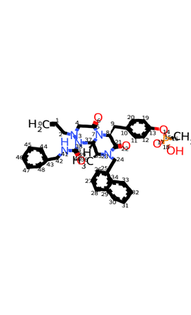 C=CCN1CC(=O)N2[C@@H](Cc3ccc(OP(C)(=O)O)cc3)C(=O)N(Cc3cccc4ccccc34)[C@@H](C)[C@@H]2N1C(=O)NCc1ccccc1